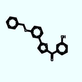 O=C(c1cccc(O)c1)c1ccc(-c2cccc(OCc3ccccc3)c2)s1